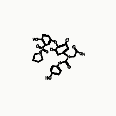 O=C(O)CN(C(=O)Oc1ccc(O)cc1)c1cc(Cl)c(Oc2ccc(O)c(S(=O)(=O)N3CCCC3)c2)c(Cl)c1